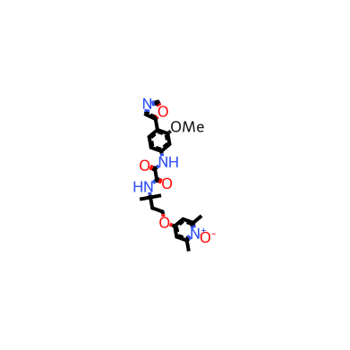 COc1cc(NC(=O)C(=O)NC(C)(C)CCOc2cc(C)[n+]([O-])c(C)c2)ccc1-c1cnco1